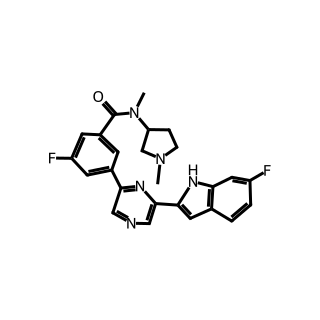 CN1CCC(N(C)C(=O)c2cc(F)cc(-c3cncc(-c4cc5ccc(F)cc5[nH]4)n3)c2)C1